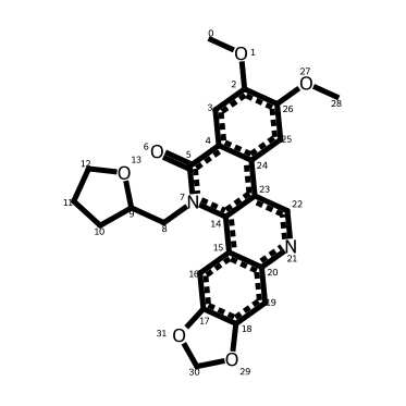 COc1cc2c(=O)n(CC3CCCO3)c3c4cc5c(cc4ncc3c2cc1OC)OCO5